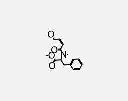 COC(=O)C(Cc1ccccc1)[N]C(=O)/C=C\C=O